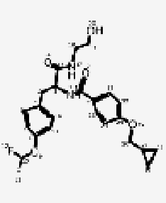 O=C(NC(Cc1ccc(OC(F)F)cc1)C(=O)NCCO)c1ccc(OCC2CC2)cc1